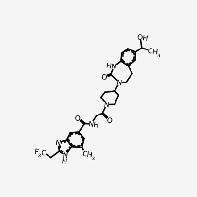 Cc1cc(C(=O)NCC(=O)N2CCC(N3CCc4cc(C(C)O)ccc4NC3=O)CC2)cc2nc(CC(F)(F)F)[nH]c12